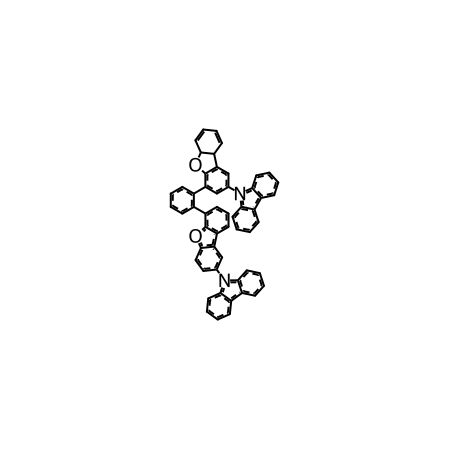 C1=CC2Oc3c(-c4ccccc4-c4cccc5c4oc4ccc(-n6c7ccccc7c7ccccc76)cc45)cc(-n4c5ccccc5c5ccccc54)cc3C2C=C1